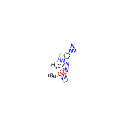 Cc1c(Nc2ccc(-n3cncn3)cc2F)ncnc1OC1CC2CCC(C1)N2C(=O)OCC(C)(C)C